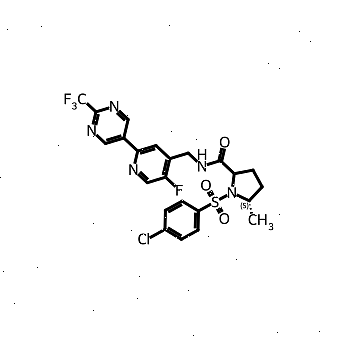 C[C@H]1CCC(C(=O)NCc2cc(-c3cnc(C(F)(F)F)nc3)ncc2F)N1S(=O)(=O)c1ccc(Cl)cc1